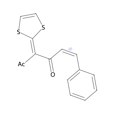 CC(=O)C(C(=O)/C=C\c1ccccc1)=C1SC=CS1